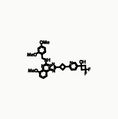 COc1ccc(CNc2nc3c(OC)cccc3c3nc(C4CC(c5ccc(C6(O)CC(F)(F)C6)cn5)C4)nn23)c(OC)c1